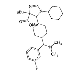 CCCCC1(C(=O)OC)N=CN(C2CCCCC2)C1C1CCC(C(c2cccc(F)c2)N(C)C)CC1